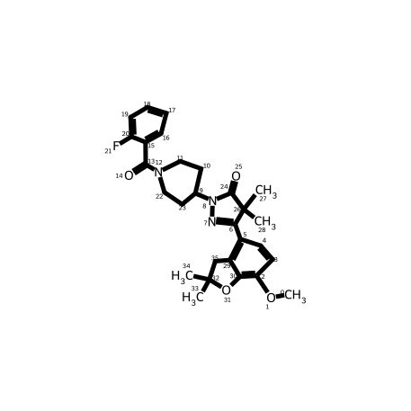 COc1ccc(C2=NN(C3CCN(C(=O)c4ccccc4F)CC3)C(=O)C2(C)C)c2c1OC(C)(C)C2